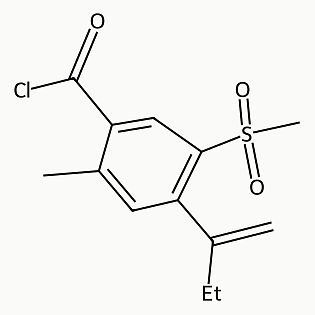 C=C(CC)c1cc(C)c(C(=O)Cl)cc1S(C)(=O)=O